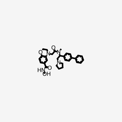 CN(C(=O)CN1CCOc2ccc(C(=O)NO)cc21)C(CN1CCCC1)c1ccc(-c2ccccc2)cc1